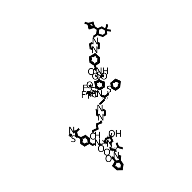 Cc1ncsc1-c1ccc(CNC(=O)[C@@H]2C[C@@H](O)CN2C(=O)[C@H](C(C)C)N2Cc3ccccc3C2=O)c(OCCCCN2CCN(CC[C@H](CSc3ccccc3)Nc3ccc(S(=O)(=O)NC(=O)c4ccc(N5CCN(CC6=C(C78CC(C)(C7)C8)CC(C)(C)CC6)CC5)cc4)cc3S(=O)(=O)C(F)(F)F)CC2)c1